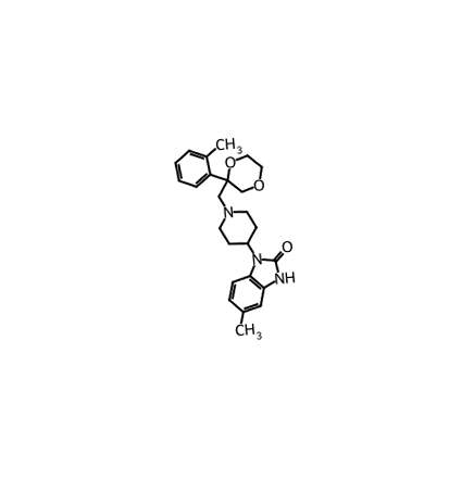 Cc1ccc2c(c1)[nH]c(=O)n2C1CCN(CC2(c3ccccc3C)COCCO2)CC1